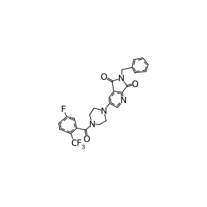 O=C(c1cc(F)ccc1C(F)(F)F)N1CCN(c2cnc3c(c2)C(=O)N(Cc2ccccc2)C3=O)CC1